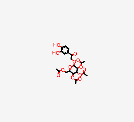 CC(=O)OCC1OC(OCC(=O)c2ccc(O)c(O)c2)C(OC(C)=O)C(OC(C)=O)C1OC(C)=O